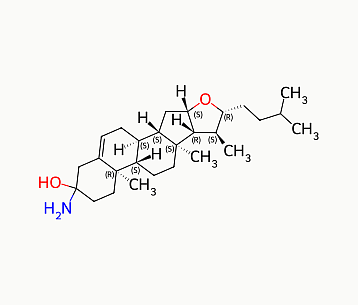 CC(C)CC[C@H]1O[C@H]2C[C@H]3[C@@H]4CC=C5CC(N)(O)CC[C@]5(C)[C@H]4CC[C@]3(C)[C@H]2[C@@H]1C